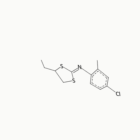 CCC1CSC(=Nc2ccc(Cl)cc2C)S1